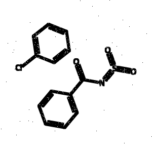 Clc1ccccc1.O=C(N=S(=O)=O)c1ccccc1